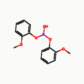 COc1ccccc1OP(O)Oc1ccccc1OC